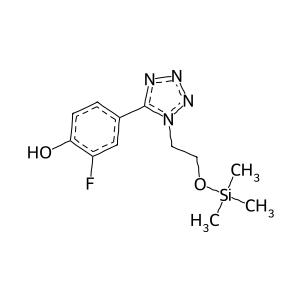 C[Si](C)(C)OCCn1nnnc1-c1ccc(O)c(F)c1